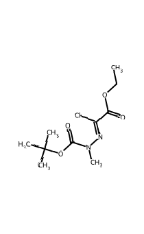 CCOC(=O)/C(Cl)=N/N(C)C(=O)OC(C)(C)C